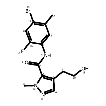 Cc1cc(NC(=O)c2c(CCO)cnn2C)c(F)cc1Br